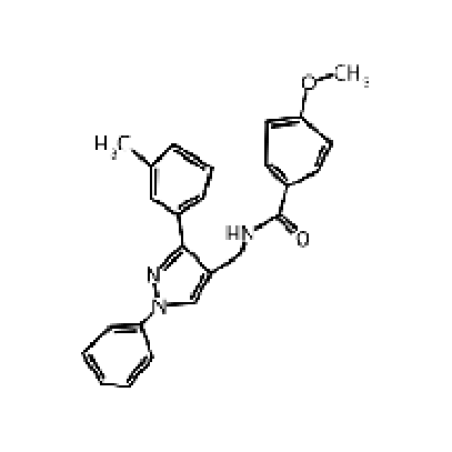 COc1ccc(C(=O)NCc2cn(-c3ccccc3)nc2-c2cccc(C)c2)cc1